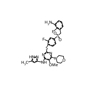 COc1c(Nc2cc(C)[nH]n2)nc(Sc2ccc(S(=O)(=O)Cc3cccc(N)c3F)cc2F)nc1N1CCOCC1